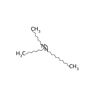 CCCCCCCCCCCCN1C=CN(CCCCCCCC)C1CCCCCCCC